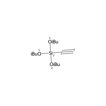 C#C[Si](OCC(C)C)(OCC(C)C)OCC(C)C